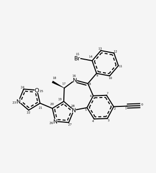 C#Cc1ccc2c(c1)C(c1ccccc1Br)=N[C@H](C)c1c(-c3cnco3)ncn1-2